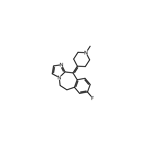 CN1CCC(=C2c3ccc(F)cc3CCn3ccnc32)CC1